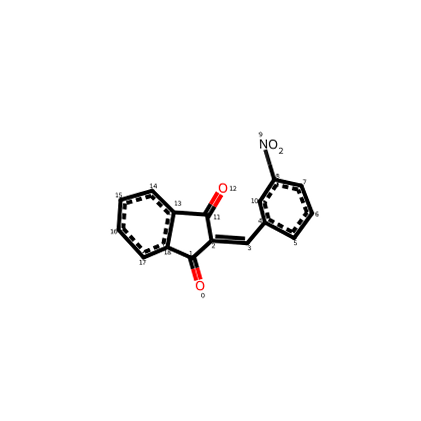 O=C1C(=Cc2cccc([N+](=O)[O-])c2)C(=O)c2ccccc21